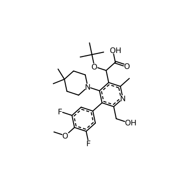 COc1c(F)cc(-c2c(CO)nc(C)c(C(OC(C)(C)C)C(=O)O)c2N2CCC(C)(C)CC2)cc1F